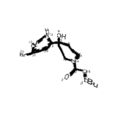 CC(C)(C)OC(=O)N1CCC(O)(c2cc(Br)n[nH]2)C1